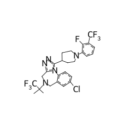 CC(C)(N1Cc2cc(Cl)ccc2-n2c(nnc2C2CCN(c3cccc(C(F)(F)F)c3F)CC2)C1)C(F)(F)F